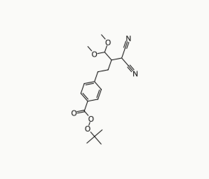 COC(OC)C(CCc1ccc(C(=O)OOC(C)(C)C)cc1)C(C#N)C#N